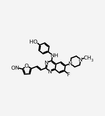 CN1CCN(c2cc3c(Nc4ccc(O)cc4)nc(/C=C/c4ccc(N=O)o4)nc3cc2F)CC1